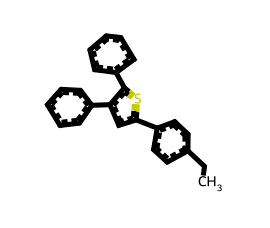 CCc1ccc(-c2cc(-c3ccccc3)c(-c3ccccc3)s2)cc1